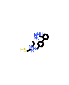 CCc1nc(CS)nn1Cc1ccc(-c2ccccc2-c2nnn[nH]2)cc1